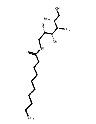 CCCCCCCCCC(=O)NC[C@H](C)[C@@H](O)[C@H](C)[C@H](O)CO